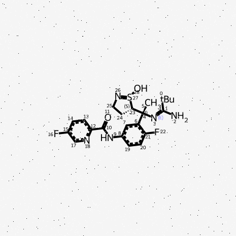 CC(C)(C)/C(N)=N\[C@](C)(c1cc(NC(=O)c2ccc(F)cn2)ccc1F)[C@@H]1CCN=S1O